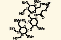 CNCC1O[C@H](O[C@@H]2C(NC)C[C@@H](NC(=O)CN=[N+]=[N-])C(O[C@H]3OC(COC)[C@@H](OC)C(NC)[C@H]3CO)[C@H]2CO)C(OC)[C@@H](CO)[C@@H]1CO